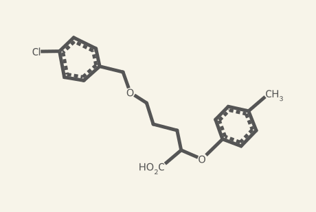 Cc1ccc(OC(CCCOCc2ccc(Cl)cc2)C(=O)O)cc1